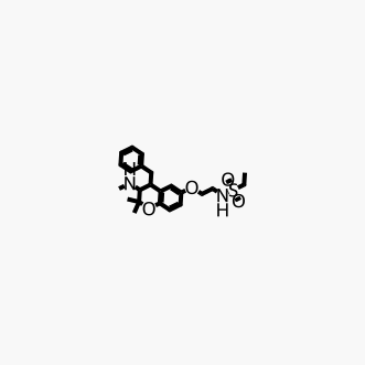 CCS(=O)(=O)NCCOc1ccc2c(c1)C(Cc1ccccc1)C(NC)C(C)(C)O2